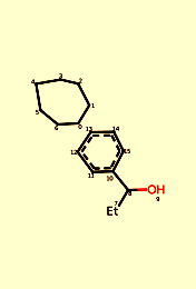 C1CCCCCC1.CCC(O)c1ccccc1